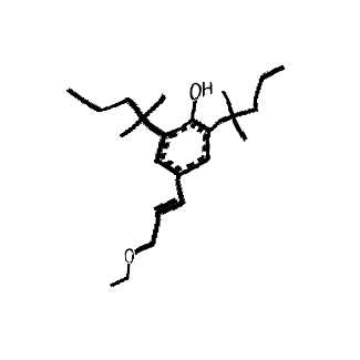 CCCC(C)(C)c1cc(C=CCOCC)cc(C(C)(C)CCC)c1O